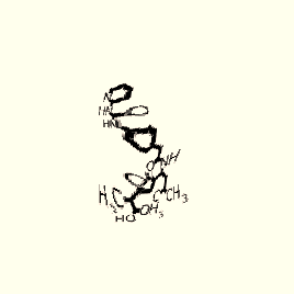 CC(C)CC(NC(=O)Cc1ccc(NC(=O)Nc2ccccn2)cc1)c1cc(C(C)C(=O)O)on1